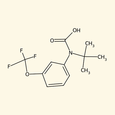 CC(C)(C)N(C(=O)O)c1cccc(OC(F)(F)F)c1